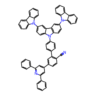 N#Cc1ccc(-c2cc(-c3ccccc3)nc(-c3ccccc3)c2)cc1-c1ccc(-n2c3ccc(-n4c5ccccc5c5ccccc54)cc3c3cc(-n4c5ccccc5c5ccccc54)ccc32)cc1